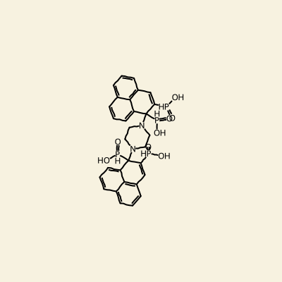 O=[PH](O)C1=Cc2cccc3cccc(c23)C1(N1CCN(C2([PH](=O)O)C([PH](=O)O)=Cc3cccc4cccc2c34)CC1)[PH](=O)O